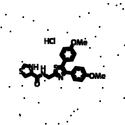 COc1ccc(-c2nc(CNC(=O)C3CSCN3)sc2-c2ccc(OC)cc2)cc1.Cl